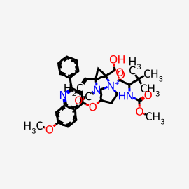 C=CC1(N=C=O)CC1(C(=O)O)[N+]1(C(=O)C(NC(=O)OC)C(C)(C)C)CCC(Oc2cc(-c3ccccc3)nc3cc(OC)ccc23)C1